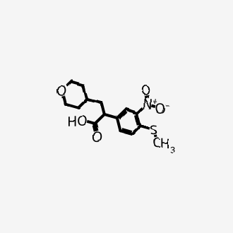 CSc1ccc(C(CC2CCOCC2)C(=O)O)cc1[N+](=O)[O-]